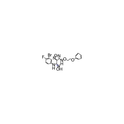 O/N=C(\Nc1ccc(F)c(Br)c1)c1nonc1NOCCOc1ccccc1